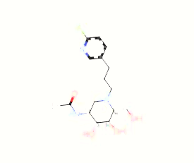 CCC(=O)N[C@H]1CN(CCCc2ccc(F)nc2)[C@H](CO)[C@@H](O)[C@@H]1O